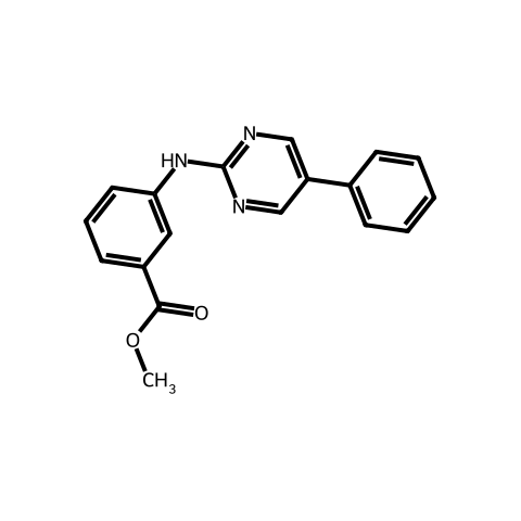 COC(=O)c1cccc(Nc2ncc(-c3ccccc3)cn2)c1